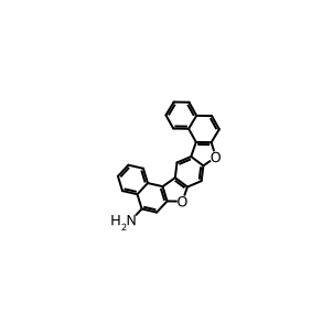 Nc1cc2oc3cc4oc5ccc6ccccc6c5c4cc3c2c2ccccc12